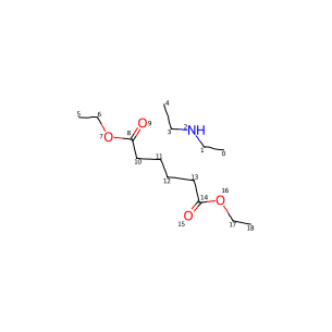 CCNCC.CCOC(=O)CCCCC(=O)OCC